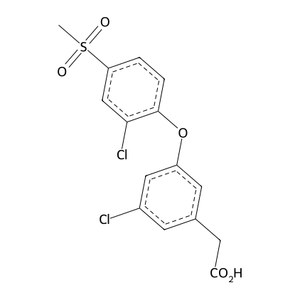 CS(=O)(=O)c1ccc(Oc2cc(Cl)cc(CC(=O)O)c2)c(Cl)c1